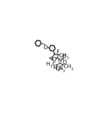 CC(C)C1N(C(=O)C(C)(F)[C@H](c2cccc(OCc3ccccc3)c2)C2CC2)C(=O)OC1(C)C